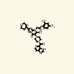 CCc1c(N2CCN(C(=O)c3nccc4nc[nH]c34)CC2)c(=O)n2nc(C3=CCOCC3)nc2n1CC(=O)Nc1ccc(C(F)(F)F)cc1Cl